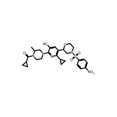 CC1CN(c2nc(C3CC3)c(C3CN(S(=O)(=O)c4ccc([N+](=O)[O-])cc4)CCO3)cc2C#N)CCN1C(=O)C1CC1